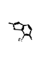 CCc1c(C)ccc2c1CC(C)=C2